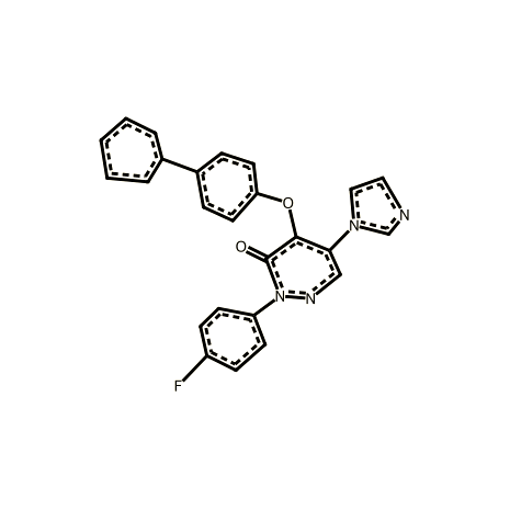 O=c1c(Oc2ccc(-c3ccccc3)cc2)c(-n2ccnc2)cnn1-c1ccc(F)cc1